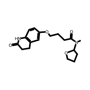 CN(C(=O)CCCOc1ccc2c(c1)CCC(=O)N2)C1CCCO1